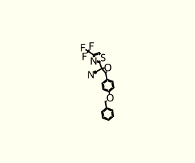 N#CC1(c2nc(C(F)(F)F)cs2)OC1c1ccc(OCc2ccccc2)cc1